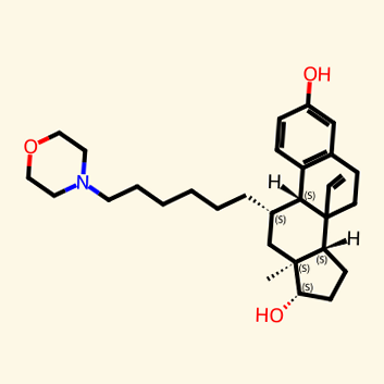 C=CC12CCc3cc(O)ccc3[C@H]1[C@@H](CCCCCCN1CCOCC1)C[C@]1(C)[C@@H](O)CC[C@@H]21